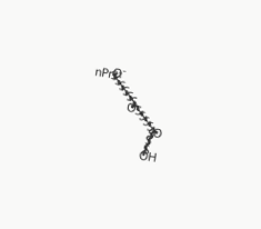 CCC[S+]([O-])CSCSCSCSCSC(=O)CSCSCSCSCC(=O)SCSCCSCO